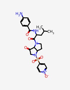 CC(C)CC(NC(=O)c1ccc(N)cc1)C(=O)N1CCC2C1C(=O)CN2S(=O)(=O)c1cc[n+]([O-])cc1